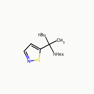 CCCCCCC(C)(CCCC)c1ccns1